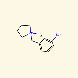 C[N+]1(Cc2cccc(N)c2)CCCC1